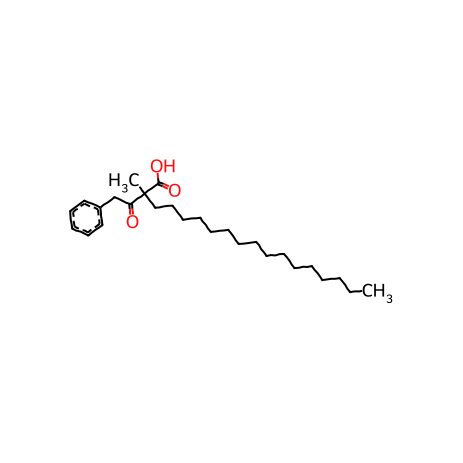 CCCCCCCCCCCCCCCCC(C)(C(=O)O)C(=O)Cc1ccccc1